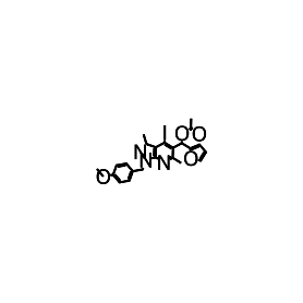 COc1ccc(Cn2nc(C)c3c(I)c(C(OC(C)=O)c4ccco4)c(C)nc32)cc1